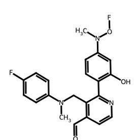 CN(Cc1c(C=O)ccnc1-c1ccc(N(C)OF)cc1O)c1ccc(F)cc1